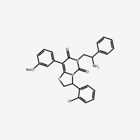 COc1cccc(-c2c3n(c(=O)n(CC(N)c4ccccc4)c2=O)C(c2ccccc2Cl)CS3)c1